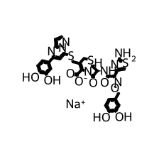 Nc1nc(/C(=N/OCc2ccc(O)c(O)c2)C(=O)N[C@@H]2C(=O)N3C(C(=O)[O-])=C(CSc4cc(-c5ccc(O)c(O)c5)nc5ccnn45)CS[C@H]23)cs1.[Na+]